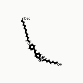 CCCCCCCCCCCCCCCCCCCCCCOc1ccc(C=Cc2ccc(S(=O)(=O)CCCCCCCCO)cc2)cc1